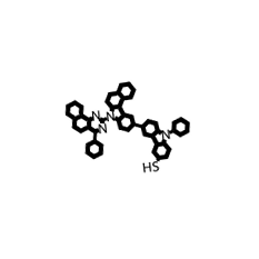 Sc1ccc2c(c1)c1cc(-c3ccc4c(c3)c3c5ccccc5ccc3n4-c3nc(-c4ccccc4)c4ccc5ccccc5c4n3)ccc1n2-c1ccccc1